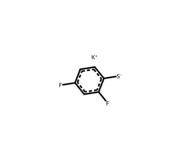 Fc1ccc([S-])c(F)c1.[K+]